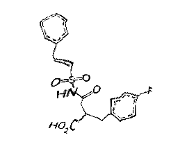 O=C(O)C(Cc1ccc(F)cc1)C(=O)NS(=O)(=O)/C=C/c1ccccc1